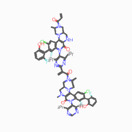 C=CC(=O)N1CC2CNc3c(c4cc(Cl)c(-c5c(O)cccc5F)c(F)c4n(-c4c(C(C)C)nc(C(=C)C(=O)N5CC6CN(C)c7c(c8cc(Cl)c(-c9c(O)cccc9F)c(F)c8n(-c8c(C(C)C)ncnc8C(C)C)c7=O)N6CC5C)nc4C(C)C)c3=O)N2CC1C